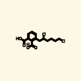 O=C(O)c1cccc(CC(Cl)CCCCCl)c1C(=O)O